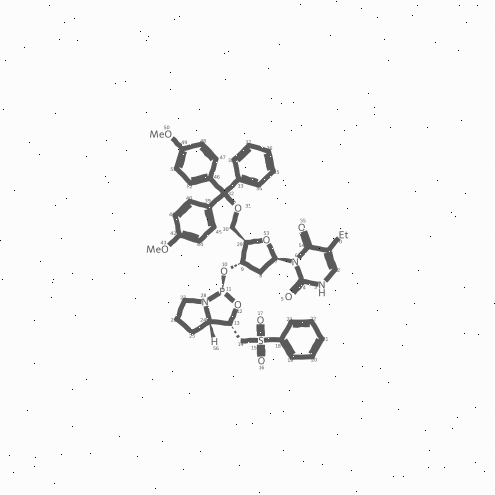 CCc1c[nH]c(=O)n([C@H]2C[C@H](O[P@@]3O[C@H](CS(=O)(=O)c4ccccc4)[C@@H]4CCCN43)[C@@H](COC(c3ccccc3)(c3ccc(OC)cc3)c3ccc(OC)cc3)O2)c1=O